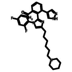 NC(=O)c1cccc(-c2cn[nH]c2)c1-c1nc(CCCCCCN2CCCCC2)cn1-c1ccc(F)cc1F